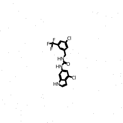 O=C(NCc1cc(Cl)cc(C(F)(F)F)c1)Nc1cc(Cl)c2cc[nH]c2c1